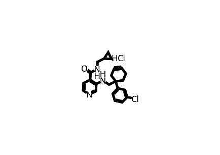 Cl.O=C(NCC1CC1)c1ccncc1NCC1(c2cccc(Cl)c2)CC#CCC1